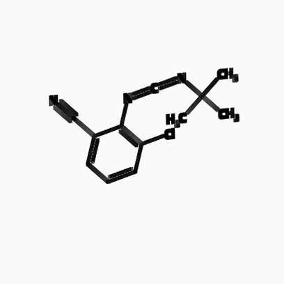 CC(C)(C)N=C=Nc1c(Cl)cccc1C#N